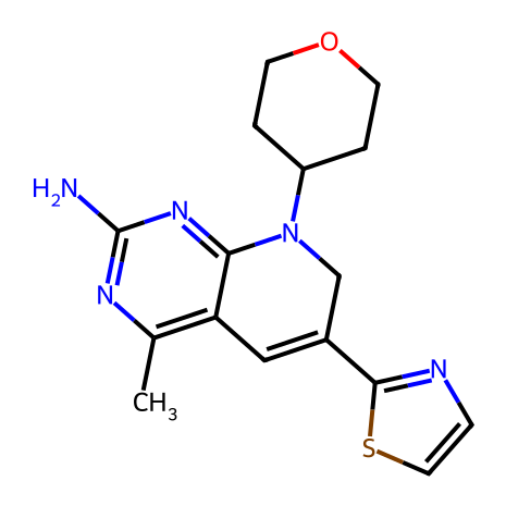 Cc1nc(N)nc2c1C=C(c1nccs1)CN2C1CCOCC1